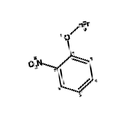 CCCOc1cc[c]cc1[N+](=O)[O-]